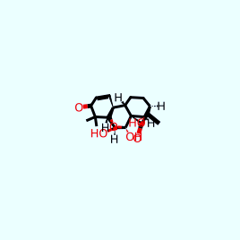 C=C1C(=O)[C@]23[C@H](O)[C@H]1CC[C@H]2[C@]12C=CC(=O)C(C)(C)[C@H]1[C@H](O)[C@@]3(O)OC2